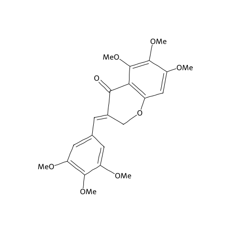 COc1cc(/C=C2\COc3cc(OC)c(OC)c(OC)c3C2=O)cc(OC)c1OC